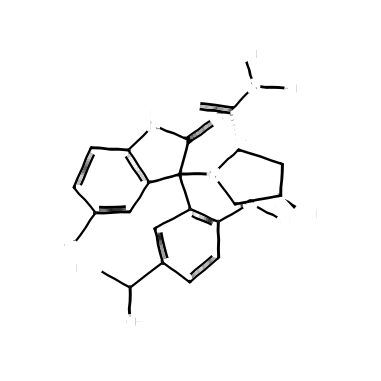 COc1ccc(C(C)C)cc1C1(N2C[C@H](O)C[C@H]2C(=O)N(C)C)C(=O)Nc2ccc(Cl)cc21